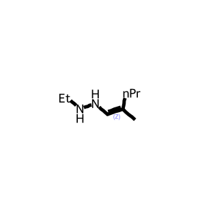 CCC/C(C)=C\NNCC